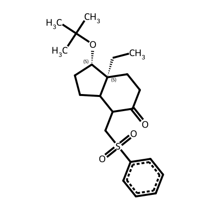 CC[C@]12CCC(=O)C(CS(=O)(=O)c3ccccc3)C1CC[C@@H]2OC(C)(C)C